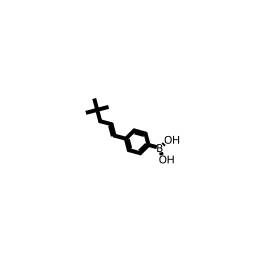 CC(C)(C)CC=Cc1ccc(B(O)O)cc1